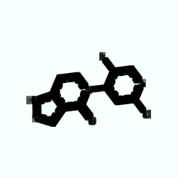 O=c1c2cn[nH]c2ccn1-c1cc(Cl)ncc1F